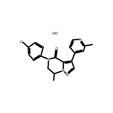 Cc1cc(-c2cnn3c2C(=O)N(c2ccc(Cl)cc2)CC3C)ccn1.Cl